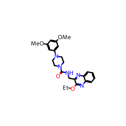 CCOc1nc2ccccc2nc1CNC(=O)N1CCN(c2cc(OC)cc(OC)c2)CC1